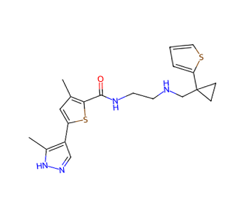 Cc1cc(-c2cn[nH]c2C)sc1C(=O)NCCNCC1(c2cccs2)CC1